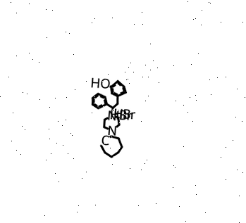 Br.Br.Oc1cccc(CC(c2ccccc2)N2CCN(C3CCCCCCC3)CC2)c1